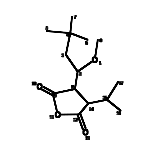 COC(CC(C)(C)C)C1C(=O)OC(=O)C1C(C)C